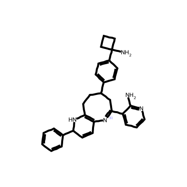 Nc1ncccc1/C1=N/C2=C(CCC(c3ccc(C4(N)CCC4)cc3)C1)NC(c1ccccc1)C=C2